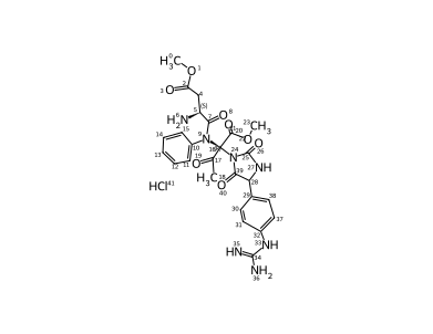 COC(=O)C[C@H](N)C(=O)N(c1ccccc1)[C@@](C(C)=O)(C(=O)OC)N1C(=O)NC(c2ccc(NC(=N)N)cc2)C1=O.Cl